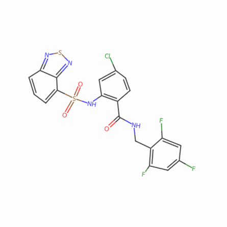 O=C(NCc1c(F)cc(F)cc1F)c1ccc(Cl)cc1NS(=O)(=O)c1cccc2nsnc12